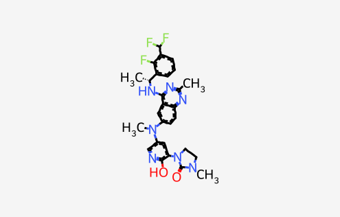 Cc1nc(N[C@H](C)c2cccc(C(F)F)c2F)c2cc(N(C)c3cnc(O)c(N4CCN(C)C4=O)c3)ccc2n1